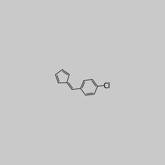 Clc1ccc(C=C2C=CC=C2)cc1